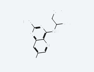 CCCCC(CNC(C)=O)Nc1nc(N)nc2cc(F)cnc12